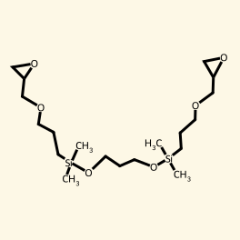 C[Si](C)(CCCOCC1CO1)OCCCO[Si](C)(C)CCCOCC1CO1